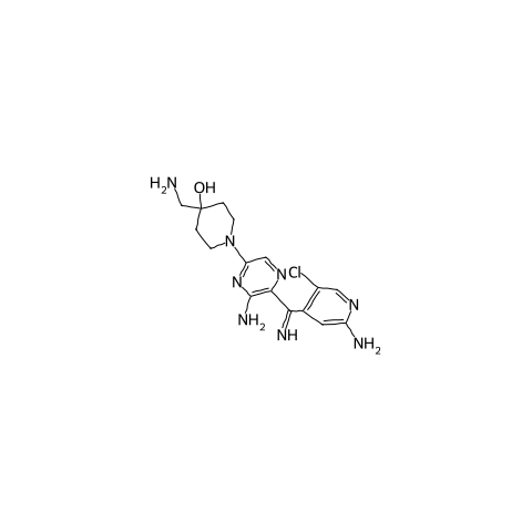 N=C(c1cc(N)ncc1Cl)c1ncc(N2CCC(O)(CN)CC2)nc1N